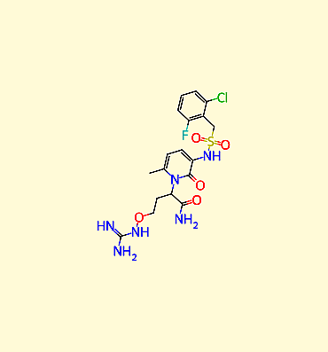 Cc1ccc(NS(=O)(=O)Cc2c(F)cccc2Cl)c(=O)n1C(CCONC(=N)N)C(N)=O